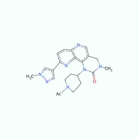 CC(=O)N1CCC(N2C(=O)N(C)Cc3cnc4ccc(-c5cnn(C)c5)nc4c32)CC1